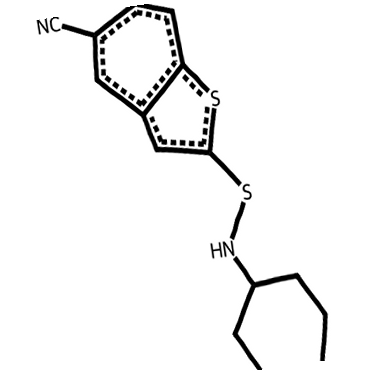 N#Cc1ccc2sc(SNC3CCCCC3)cc2c1